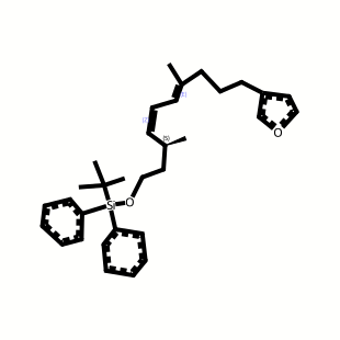 C/C(=C\C=C/[C@@H](C)CCO[Si](c1ccccc1)(c1ccccc1)C(C)(C)C)CCCc1ccoc1